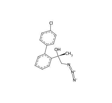 C[C@@](O)(CN=[N+]=[N-])c1ccccc1-c1ccc(Cl)cc1